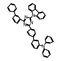 c1ccc(-c2cccc(-c3nc(-c4ccc(-c5cccc(N(c6ccccc6)c6ccccc6)c5)cc4)nc(-n4c5ccccc5c5ccccc54)n3)c2)cc1